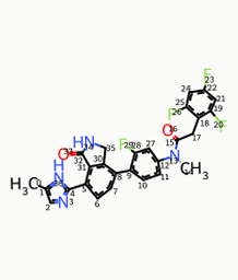 Cc1cnc(-c2ccc(-c3ccc(N(C)C(=O)Cc4c(F)cc(F)cc4F)cc3F)c3c2C(=O)NC3)[nH]1